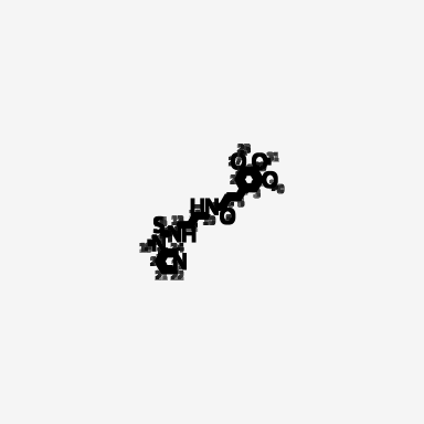 COc1cc(/C=C/C(=O)NCCCCNC(=S)N(C)c2cccnc2)cc(OC)c1OC